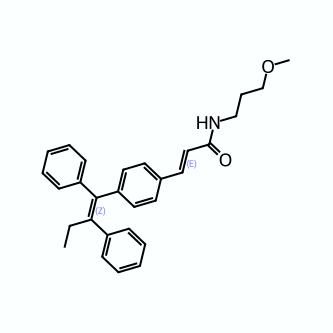 CC/C(=C(\c1ccccc1)c1ccc(/C=C/C(=O)NCCCOC)cc1)c1ccccc1